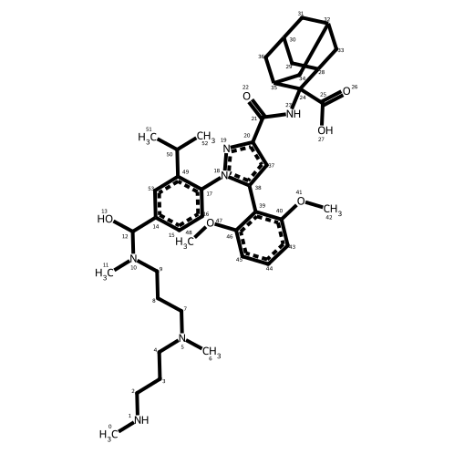 CNCCCN(C)CCCN(C)C(O)c1ccc(-n2nc(C(=O)NC3(C(=O)O)C4CC5CC(C4)CC3C5)cc2-c2c(OC)cccc2OC)c(C(C)C)c1